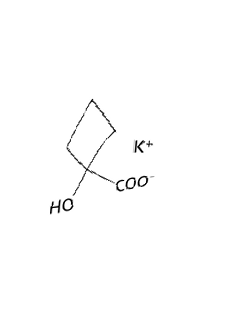 O=C([O-])C1(O)CCC1.[K+]